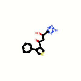 O=C(C=C(O)c1nn[nH]n1)c1cscc1-c1ccccc1